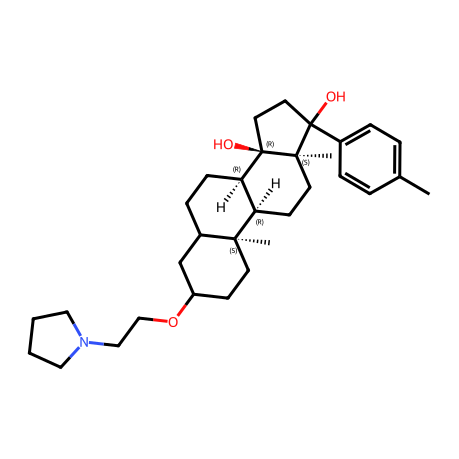 Cc1ccc(C2(O)CC[C@@]3(O)[C@@H]4CCC5CC(OCCN6CCCC6)CC[C@]5(C)[C@@H]4CC[C@]23C)cc1